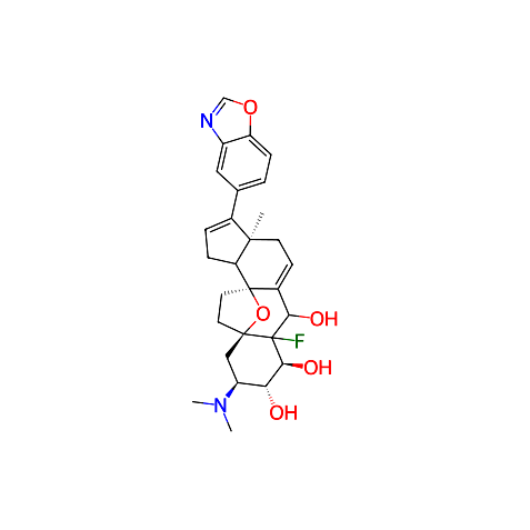 CN(C)[C@H]1C[C@@]23CC[C@@]4(O2)C(=CC[C@]2(C)C(c5ccc6ocnc6c5)=CCC24)C(O)C3(F)[C@@H](O)[C@@H]1O